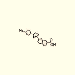 N#Cc1ccc(-c2csc(-c3ccc4ccc(C(=O)O)cc4c3)n2)cc1